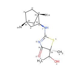 CC(O)[C@]1(C)SC(N[C@H]2C[C@@H]3CC[C@H]2C3)=NC1=O